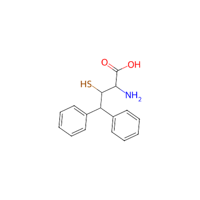 NC(C(=O)O)C(S)C(c1ccccc1)c1ccccc1